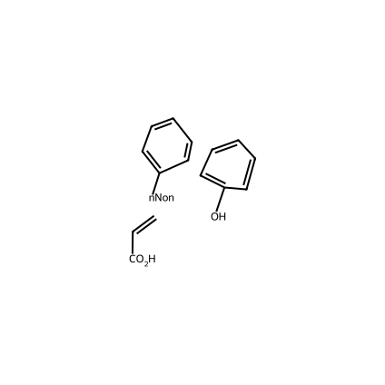 C=CC(=O)O.CCCCCCCCCc1ccccc1.Oc1ccccc1